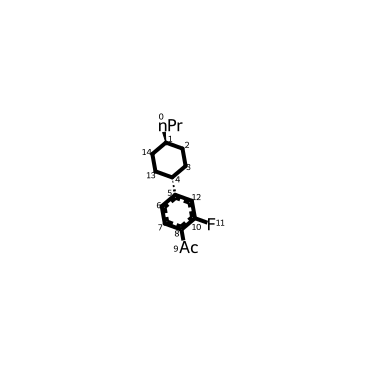 CCC[C@H]1CC[C@H](c2ccc(C(C)=O)c(F)c2)CC1